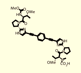 COC(=O)N[C@H](C(=O)N1CCC[C@H]1c1nc(C#Cc2ccc(C#Cc3c[nH]c([C@@H]4CCCN4C(=O)[C@H]([C@@H](C)OC)N(C)C(=O)O)n3)cc2)c[nH]1)[C@@H](C)OC